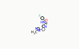 Cc1nccc(C2CCCc3nc(C4(NC(=O)c5ccc(F)cc5)CC4)ccc32)n1